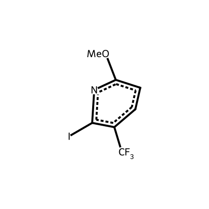 COc1ccc(C(F)(F)F)c(I)n1